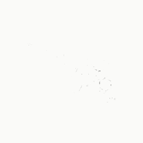 COCCOCCOCC(=O)OC12CCC(=O)[C@@H]3Oc4c(OC)ccc5c4[C@@]31CCN(C)[C@@H]2C5